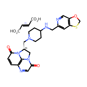 O=C(O)/C=C/C(=O)O.O=c1cnc2ccc(=O)n3c2n1C[C@H]3CN1CCC(NCc2cc3c(cn2)OCS3)CC1